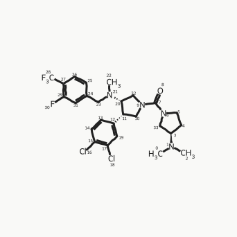 CN(C)[C@@H]1CCN(C(=O)N2C[C@H](c3ccc(Cl)c(Cl)c3)[C@H](N(C)Cc3ccc(C(F)(F)F)c(F)c3)C2)C1